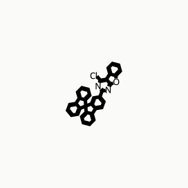 Clc1nc(-c2ccc3c(c2)C2(c4ccccc4-c4ccccc42)c2ccccc2-3)nc2oc3ccccc3c12